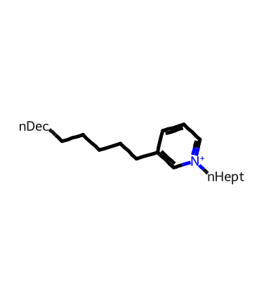 CCCCCCCCCCCCCCCc1ccc[n+](CCCCCCC)c1